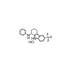 Cl.FC(F)(F)c1ccc2[nH]c3c(c2c1)CCCC3Nc1ccccc1